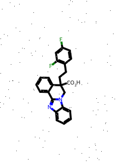 O=C(O)C1(CCc2ccc(F)cc2F)Cn2c(nc3ccccc32)-c2ccccc21